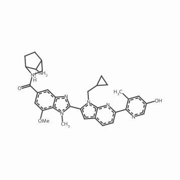 COc1cc(C(=O)N2CC3CCC2[C@@H]3N)cc2nc(-c3cc4ccc(-c5ncc(O)cc5C)nc4n3CC3CC3)n(C)c12